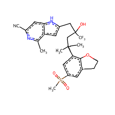 Cc1nc(C#N)cc2[nH]c(CC(O)(CC(C)(C)c3cc(S(C)(=O)=O)cc4c3OCC4)C(F)(F)F)cc12